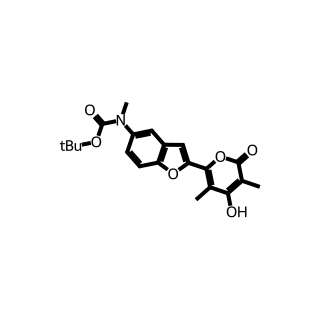 Cc1c(-c2cc3cc(N(C)C(=O)OC(C)(C)C)ccc3o2)oc(=O)c(C)c1O